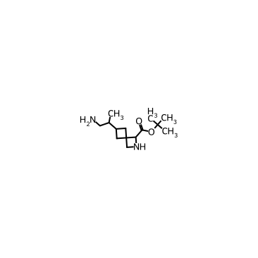 CC(CN)C1CC2(CNC2C(=O)OC(C)(C)C)C1